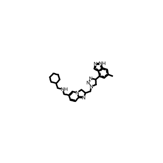 Cc1cc(C2CN(CC3CN4C=C(CNCC5CCCCC5)C=CC4=N3)N=N2)c2cn[nH]c2c1